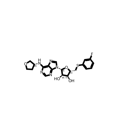 O[C@@H]1[C@H](O)[C@@H](CSc2cccc(F)c2)O[C@H]1n1cnc2c(N[C@@H]3CCOC3)ncnc21